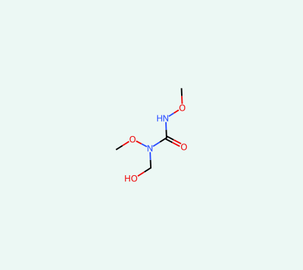 CONC(=O)N(CO)OC